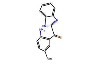 CCCCc1ccc(N)c(C(=S)c2nc3ccccc3[nH]2)c1